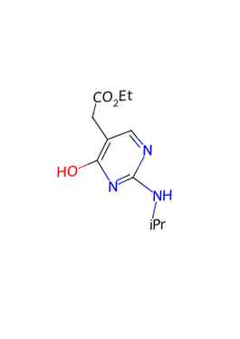 CCOC(=O)Cc1cnc(NC(C)C)nc1O